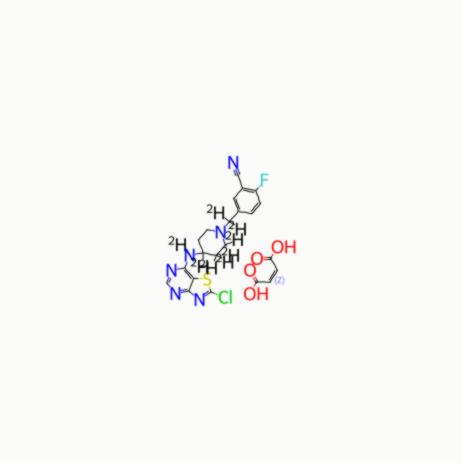 O=C(O)/C=C\C(=O)O.[2H]N(c1ncnc2nc(Cl)sc12)C1([2H])CCN(C([2H])([2H])c2ccc(F)c(C#N)c2)C([2H])([2H])C1([2H])[2H]